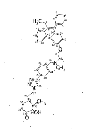 CC/C(=C(\c1ccccc1)c1ccc(OCCN(C)Cc2ccc(-c3cn(CCn4ccc(=O)c(O)c4C)nn3)cc2)cc1)c1ccccc1